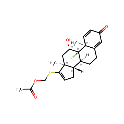 CC(=O)OCSC1=CC[C@H]2[C@@H]3CCC4=CC(=O)C=C[C@]4(C)[C@@]3(F)[C@@H](O)C[C@]12C